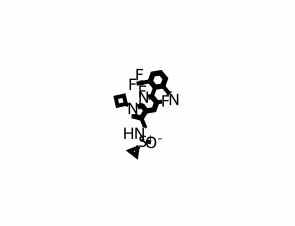 N#Cc1cccc(C(F)(F)F)c1-c1nc2c(cc1F)c(CN[S+]([O-])C1CC1)cn2C1CCC1